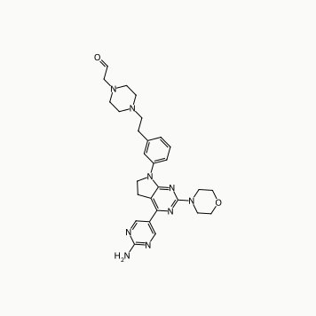 Nc1ncc(-c2nc(N3CCOCC3)nc3c2CCN3c2cccc(CCN3CCN(CC=O)CC3)c2)cn1